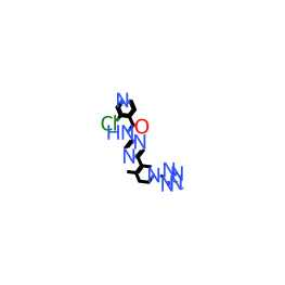 CC1=C(c2cnc(NC(=O)c3ccncc3Cl)cn2)CN(c2nnn(C)n2)CC1